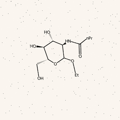 CCCC(=O)N[C@H]1C(OCC)O[C@H](CO)[C@@H](O)[C@@H]1O